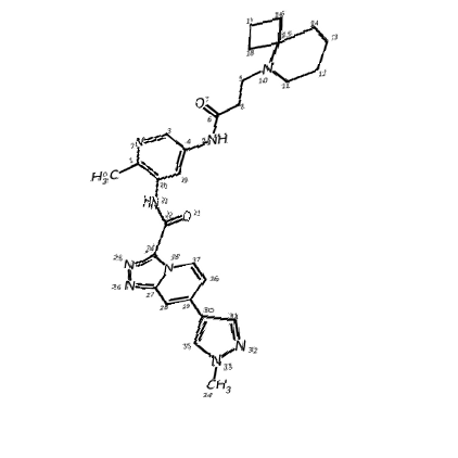 Cc1ncc(NC(=O)CCN2CCCCC23CCC3)cc1NC(=O)c1nnc2cc(-c3cnn(C)c3)ccn12